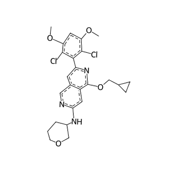 COc1cc(OC)c(Cl)c(-c2cc3cnc(NC4CCCOC4)cc3c(OCC3CC3)n2)c1Cl